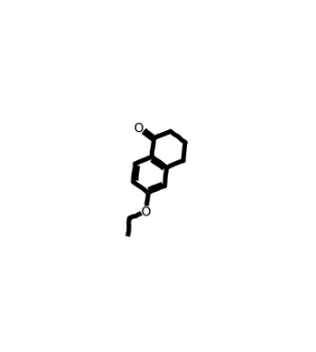 CCOc1ccc2c(c1)CCCC2=O